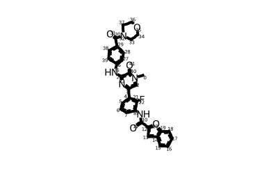 Cn1cc(-c2cccc(NC(=O)c3cc4ccccc4o3)c2F)nc(Nc2ccc(C(=O)N3CCOCC3)cc2)c1=O